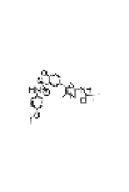 CCOc1ccc(NS(=O)(=O)c2cc(-c3sc(NC(=O)C(C)(C)C)nc3C)ccc2OC)cc1